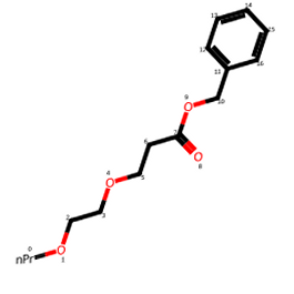 CCCOCCOCCC(=O)OCc1ccccc1